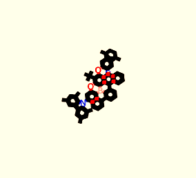 Cc1cc(C)c2c(c1)c1cc(C)cc(C)c1n2-c1ccc2c(c1)Oc1c(cc3c(c1C(C)(C)C)Oc1cc4c(cc1N3c1ccccc1)C1(C)CCC4(C)CC1)B2c1c(-c2ccccc2)cccc1-c1ccccc1